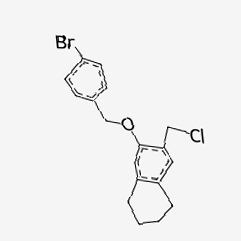 ClCc1cc2c(cc1OCc1ccc(Br)cc1)CCCC2